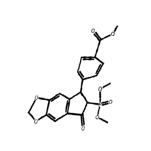 COC(=O)c1ccc(C2c3cc4c(cc3C(=O)C2P(=O)(OC)OC)OCO4)cc1